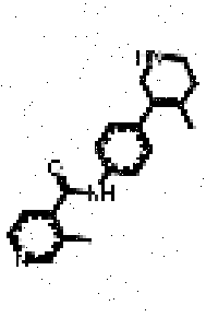 CC1=C(c2ccc(NC(=O)c3ccncc3C)cc2)CNCC1